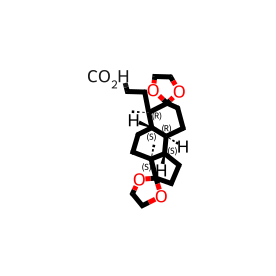 C[C@]12CC[C@H]3[C@@H](CCC4(OCCO4)[C@]3(C)CCC(=O)O)[C@@H]1CCC21OCCO1